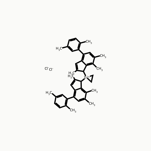 CC1=Cc2c(-c3cc(C)ccc3C)cc(C)c(C)c2[CH]1[Zr+2]1([CH]2C(C)=Cc3c(-c4cc(C)ccc4C)cc(C)c(C)c32)[CH2][CH2]1.[Cl-].[Cl-]